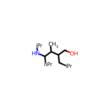 CCCC(NC(C)C)C(C)C(CO)CC(C)C